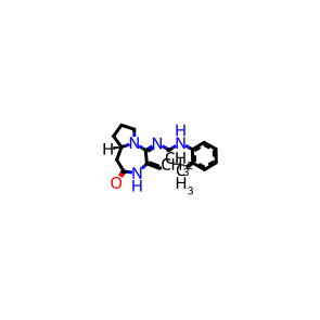 C=C(/N=C1\C(=C/C)NC(=O)C[C@@H]2CCCN12)Nc1ccccc1C